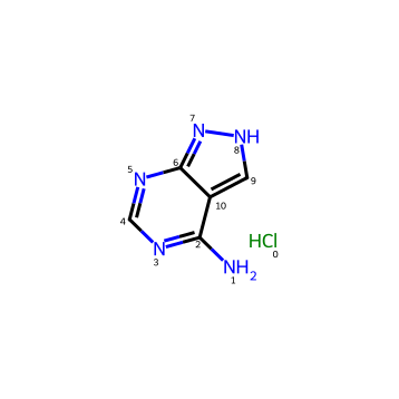 Cl.Nc1ncnc2n[nH]cc12